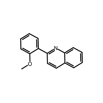 COc1ccccc1-c1ccc2ccccc2n1